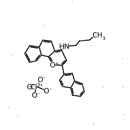 CCCCNc1cc(-c2ccc3ccccc3c2)[o+]c2c1ccc1ccccc12.[O-][Cl+3]([O-])([O-])[O-]